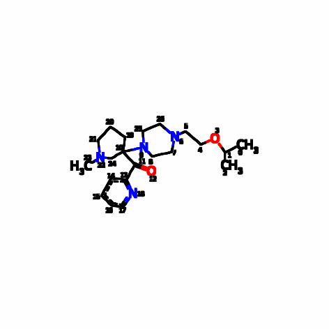 CC(C)OCCN1CCN(C2(C(=O)c3ccccn3)CCCN(C)C2)CC1